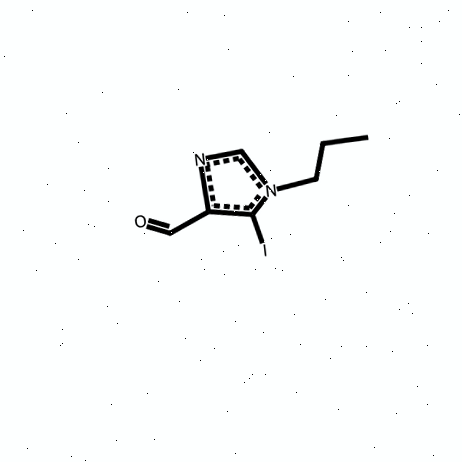 CCCn1cnc(C=O)c1I